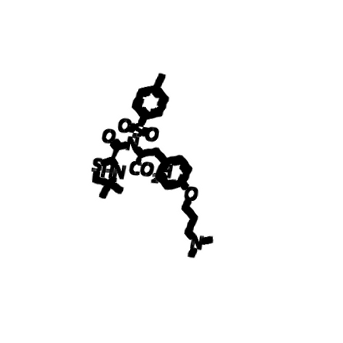 Cc1ccc(S(=O)(=O)N(C(=O)[C@H]2NC(C)(C)CS2)[C@@H](Cc2ccc(OCCCN(C)C)cc2)C(=O)O)cc1